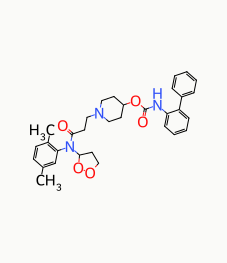 Cc1ccc(C)c(N(C(=O)CCN2CCC(OC(=O)Nc3ccccc3-c3ccccc3)CC2)C2CCOO2)c1